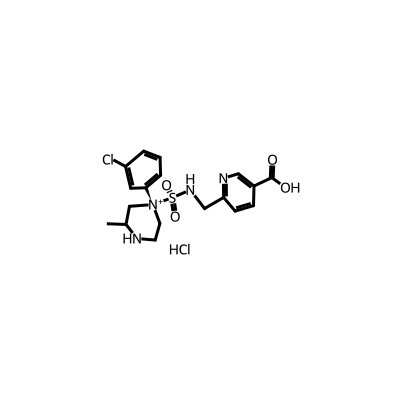 CC1C[N@+](c2cccc(Cl)c2)(S(=O)(=O)NCc2ccc(C(=O)O)cn2)CCN1.Cl